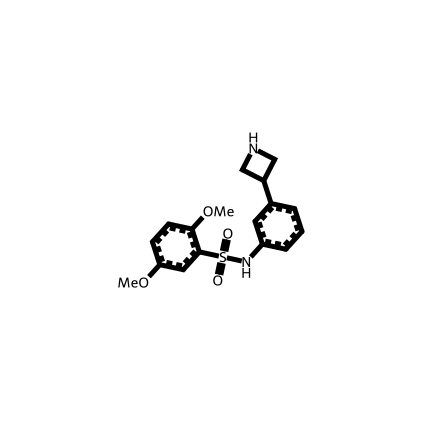 COc1ccc(OC)c(S(=O)(=O)Nc2cccc(C3CNC3)c2)c1